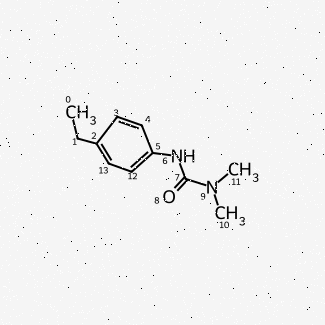 CCc1ccc(NC(=O)N(C)C)cc1